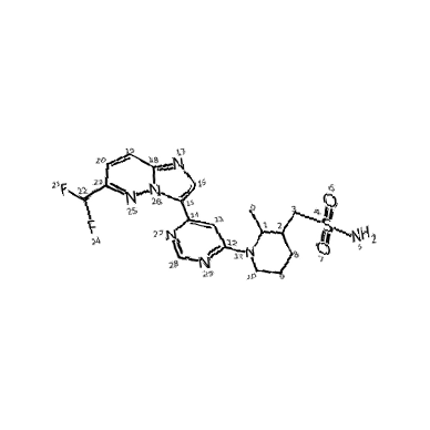 CC1C(CS(N)(=O)=O)CCCN1c1cc(-c2cnc3ccc(C(F)F)nn23)ncn1